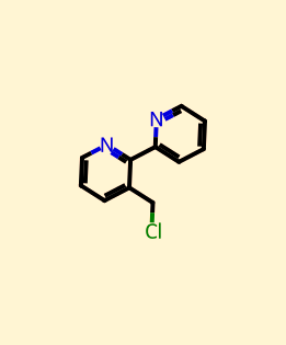 ClCc1cccnc1-c1ccccn1